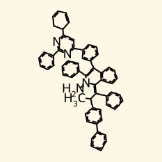 CC(/C(=C1/c2ccccc2C(c2cccc(-c3cc(C4C=CC=CC4)nc(-c4ccccc4)n3)c2)=C(c2ccccc2)N1N)c1ccccc1)c1ccc(-c2ccccc2)cc1